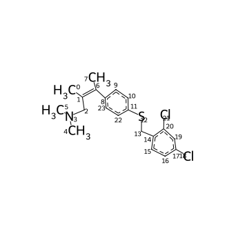 CC(CN(C)C)=C(C)c1ccc(SCc2ccc(Cl)cc2Cl)cc1